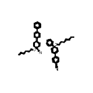 CCCCCCCOC1(c2ccccc2)C=CC(c2ccc(C#N)cc2)=CC1.CCCCCCOC1(C#N)C=CC(c2ccc(-c3ccccc3)cc2)=CC1